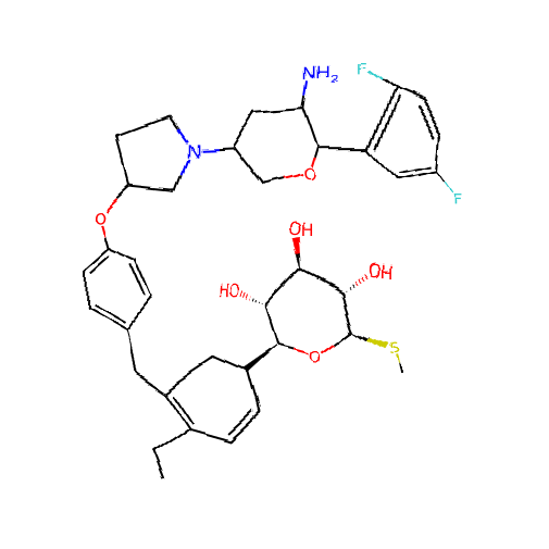 CCC1=C(Cc2ccc(OC3CCN(C4COC(c5cc(F)ccc5F)C(N)C4)C3)cc2)CC([C@@H]2O[C@H](SC)[C@@H](O)[C@H](O)[C@H]2O)C=C1